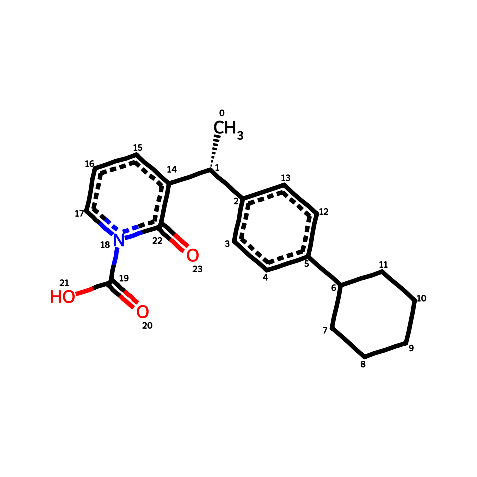 C[C@H](c1ccc(C2CCCCC2)cc1)c1cccn(C(=O)O)c1=O